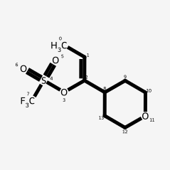 CC=C(OS(=O)(=O)C(F)(F)F)C1CCOCC1